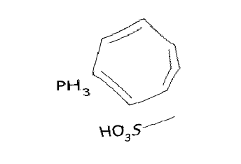 CS(=O)(=O)O.P.c1ccccc1